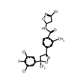 CCC1=NOC(NC(=O)c2ccc(C3=NO[C@@](c4cc(Cl)c(F)c(Cl)c4)(C(F)(F)F)C3)cc2C)C1